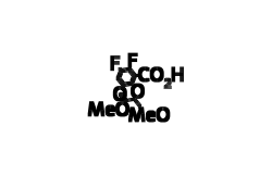 COCC(Oc1ccc(F)c(F)c1C(=O)O)C(=O)OC